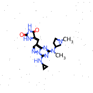 CN1CCC(N(C)c2nc(NC3CC3)n3ncc(/C=C4\NC(=O)NC4=O)c3n2)C1